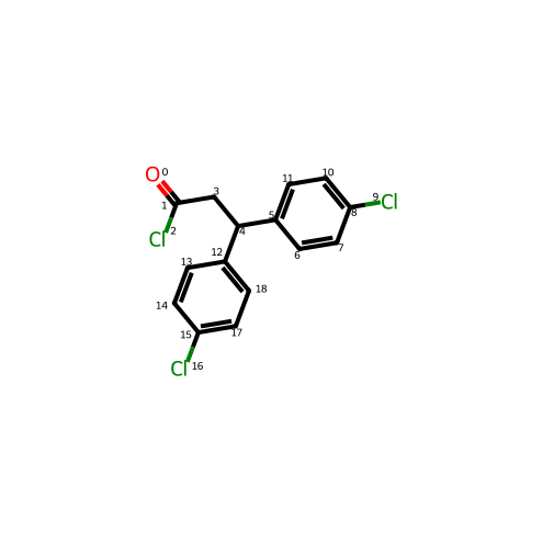 O=C(Cl)CC(c1ccc(Cl)cc1)c1ccc(Cl)cc1